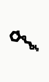 C=CCOC1CCCCS1